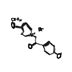 COc1cc[n+](CC(=O)c2ccc(Cl)cc2)cc1.[Br-]